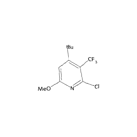 COc1cc(C(C)(C)C)c(C(F)(F)F)c(Cl)n1